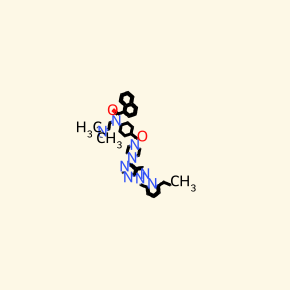 CCCc1cccc(Cn2ncc3c(N4CCN(C(=O)C5CCC(N(CCN(C)C)C(=O)c6cccc7ccccc67)CC5)CC4)ncnc32)n1